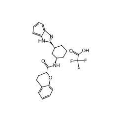 O=C(N[C@@H]1CCC[C@H](c2nc3ccccc3[nH]2)C1)[C@H]1CCc2ccccc2O1.O=C(O)C(F)(F)F